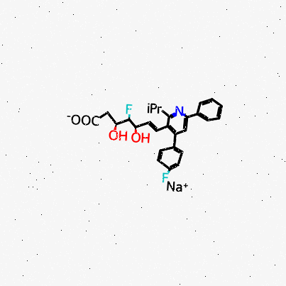 CC(C)c1nc(-c2ccccc2)cc(-c2ccc(F)cc2)c1/C=C/[C@@H](O)[C@H](F)[C@@H](O)CC(=O)[O-].[Na+]